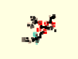 C=CC(=O)OC(OCCC(F)(F)S(=O)(=O)O)(C(=O)OC(C(F)(F)F)C(F)(F)F)C(F)(F)F